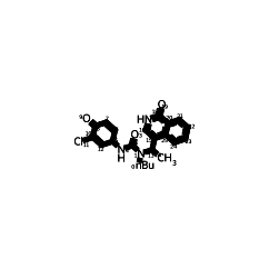 CCCCN(C(=O)NC1C=CC(=O)C(Cl)=C1)C(C)c1c[nH]c(=O)c2ccccc12